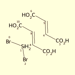 Br[SiH2]Br.O=C(O)/C=C/C(=O)O.O=C(O)/C=C/C(=O)O